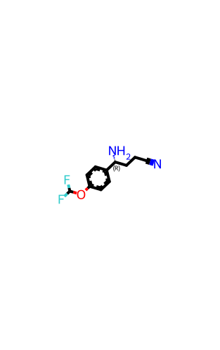 N#CCC[C@@H](N)c1ccc(OC(F)F)cc1